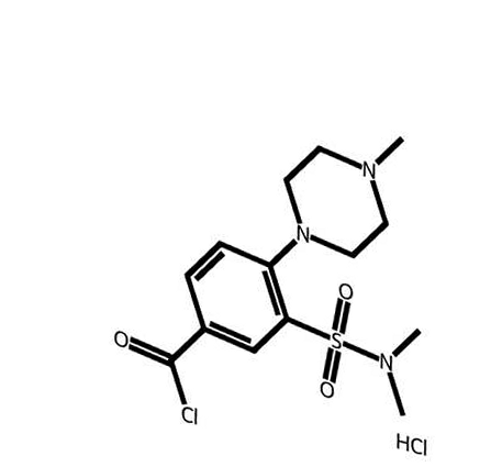 CN1CCN(c2ccc(C(=O)Cl)cc2S(=O)(=O)N(C)C)CC1.Cl